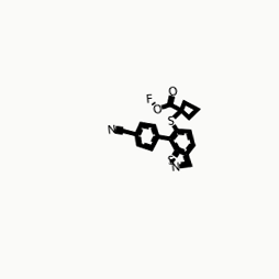 N#Cc1ccc(-c2c(SC3(C(=O)OF)CCC3)ccc3cnsc23)cc1